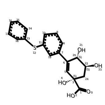 O=C(O)[C@@]1(O)C=C(c2cccc(Sc3ccccc3)c2)[C@H](O)[C@@H](O)C1